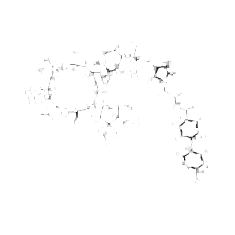 CC[C@H]1OC(=O)[C@H](C)C([C@H]2C[C@@](C)(OC)[C@@H](O)[C@H](C)O2)[C@H](C)[C@@H](O[C@@H]2O[C@H](C)C[C@H](N(C)CCc3cn(CCOCc4ccc(-c5ccc(C)nc5)cc4)nn3)[C@H]2O)[C@](C)(O)C[C@@H](C)CN(C)[C@H](C)[C@@H](O)[C@]1(C)O